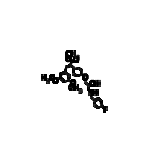 COC(=O)/C(=C/c1cc(OC)cc(OC)c1)c1ccc(OCC(O)CNCc2ccc(F)cc2)cc1